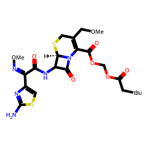 COCC1=C(C(=O)OCOC(=O)CC(C)(C)C)N2C(=O)C(NC(=O)/C(=N\OC)c3csc(N)n3)[C@H]2SC1